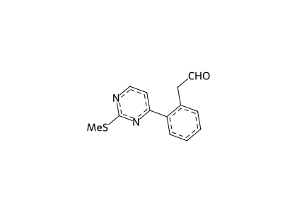 CSc1nccc(-c2ccccc2CC=O)n1